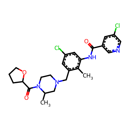 Cc1c(CN2CCN(C(=O)C3CCCO3)C(C)C2)cc(Cl)cc1NC(=O)c1cncc(Cl)c1